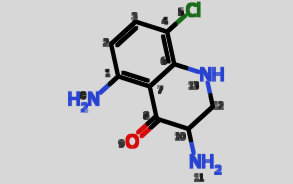 Nc1ccc(Cl)c2c1C(=O)C(N)CN2